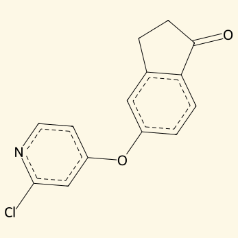 O=C1CCc2cc(Oc3ccnc(Cl)c3)ccc21